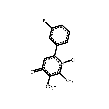 Cc1c(C(=O)O)c(=O)cc(-c2cccc(F)c2)n1C